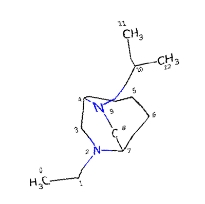 CCN1CC2CCC1CN2C(C)C